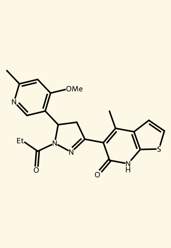 CCC(=O)N1N=C(c2c(C)c3ccsc3[nH]c2=O)CC1c1cnc(C)cc1OC